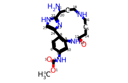 COC(=O)Nc1ccc2c(c1)NC(=O)CCCNCC[C@H](N)c1nc-2c[nH]1